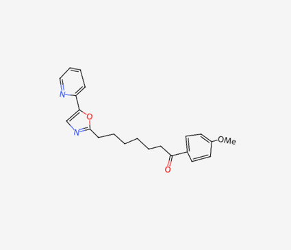 COc1ccc(C(=O)CCCCCCc2ncc(-c3ccccn3)o2)cc1